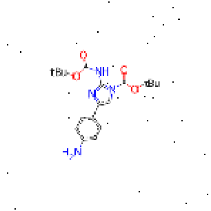 CC(C)(C)OC(=O)Nc1nc(-c2ccc(N)cc2)cn1C(=O)OC(C)(C)C